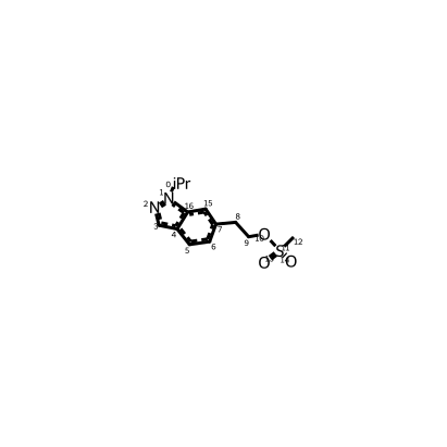 CC(C)n1ncc2ccc(CCOS(C)(=O)=O)cc21